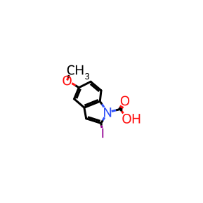 COc1ccc2c(c1)cc(I)n2C(=O)O